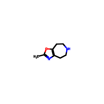 Cc1nc2c(o1)CCNCC2